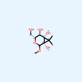 COC1O[C@H](CO)[C@@H](O)[C@@]2(O)C(C)(C)[C@@]12O